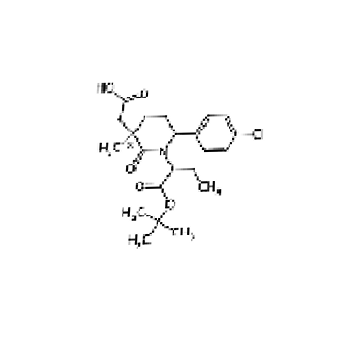 CCC(C(=O)OC(C)(C)C)N1C(=O)[C@@](C)(CC(=O)O)CCC1c1ccc(Cl)cc1